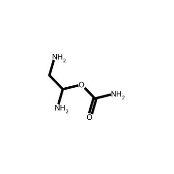 NCC(N)OC(N)=O